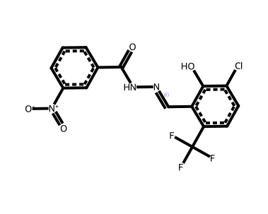 O=C(N/N=C/c1c(C(F)(F)F)ccc(Cl)c1O)c1cccc([N+](=O)[O-])c1